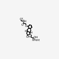 CCCCC[C@@H](O)CC[C@@H]1[C@H]2Cc3cccc(OCC(=O)NCC(F)(F)F)c3C[C@H]2C[C@H]1O